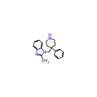 Cc1nc2ccccc2n1CC1(c2ccccc2)CCNCC1